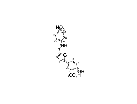 O=C(O)c1cc(-c2ccc(CNc3ccc([N+](=O)[O-])cc3)o2)ccc1O